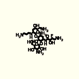 NCCCN[C@@H]1C[C@H](O)[C@@H](CN)O[C@@H]1O[C@H]1[C@H](O)[C@@H](O[C@H]2O[C@H](CO)[C@@H](O)[C@H](N)[C@H]2O)[C@H](NC(=O)C(O)C(F)CN)C[C@@H]1N